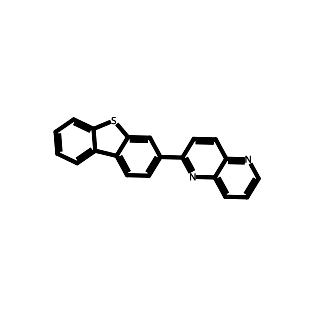 c1cnc2ccc(-c3ccc4c(c3)sc3ccccc34)nc2c1